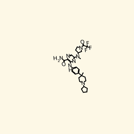 CN(c1cnc(C(N)=O)c(Nc2ccc(C3(C)CCN(C4CCCC4)CC3)cc2)n1)C1CCN(C(=O)C(F)(F)F)C1